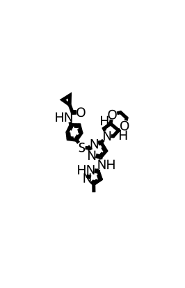 Cc1cc(Nc2cc(N3C[C@@H]4OCCO[C@@H]4C3)nc(Sc3ccc(NC(=O)C4CC4)cc3)n2)[nH]n1